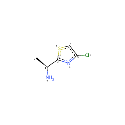 C[C@H](N)c1nc(Cl)cs1